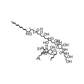 C/C=C/C=C/C=C/C=C/[C@H](C)[C@@H](O)[C@@H](C)[C@H](C)OC(=O)C[C@H](O)C[C@H](O)CC[C@@H](O)[C@H](O)C[C@H](O)C[C@]1(O)C[C@H](O)[C@@H](NC(=O)NC[C@H](O)CO)[C@H](C[C@H](/C=C/C=C/C)O[C@@H]2O[C@H](C)[C@@H](O)[C@H](N/C(=N/CC)NCCCN(C)C)[C@@H]2O)O1